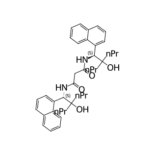 CCCC(O)(CCC)[C@@H](NC(=O)CC(=O)N[C@@H](c1cccc2ccccc12)C(O)(CCC)CCC)c1cccc2ccccc12